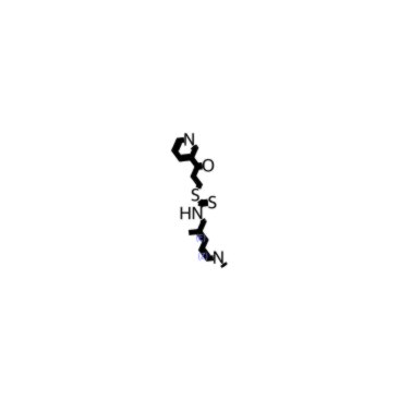 C=N/C=C\C=C(/C)CNC(=S)SCCC(=O)c1cccnc1